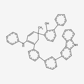 CC1(c2cccc(-c3ccccc3)c2O)C=CC(Nc2ccccc2)=C(c2cccc(-c3cccc(-c4ccc5[nH]c6ccccc6c5c4)c3)c2)C1